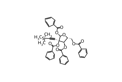 C[Si](C)(C)C#C[C@]1(OC(=O)c2ccccc2)C(OC(=O)c2ccccc2)O[C@H](COC(=O)c2ccccc2)[C@H]1OC(=O)c1ccccc1